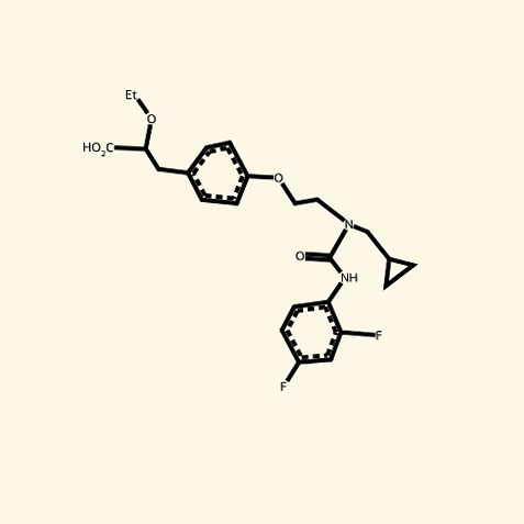 CCOC(Cc1ccc(OCCN(CC2CC2)C(=O)Nc2ccc(F)cc2F)cc1)C(=O)O